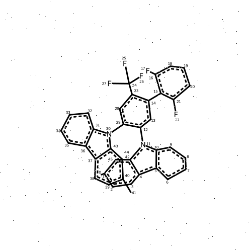 Cc1ccc2c3ccccc3n(-c3cc(-c4c(F)cccc4F)c(C(F)(F)F)cc3-n3c4ccccc4c4ccc(C)cc43)c2c1